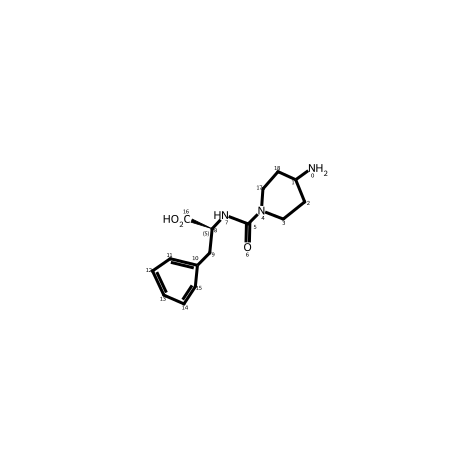 NC1CCN(C(=O)N[C@@H](Cc2ccccc2)C(=O)O)CC1